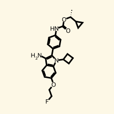 C[C@@H](OC(=O)Nc1ccc(-c2c(N)c3ccc(OCCF)cc3n2C2CCC2)cc1)C1CC1